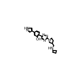 Oc1cc(-c2cn[nH]c2)ccc1-c1cnc(N2CCC(CNC3CCC3)C2)nn1